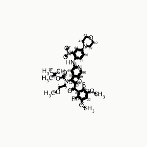 COCCN(C(=O)OC(C)(C)C)c1c(C(=O)c2c(F)c(OC)cc(OC)c2F)oc2cnc(Nc3ccc(N4CCOCC4)cc3[N+](=O)[O-])cc12